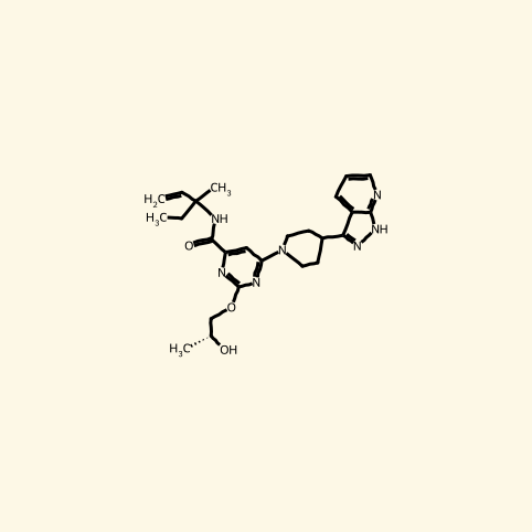 C=CC(C)(CC)NC(=O)c1cc(N2CCC(c3n[nH]c4ncccc34)CC2)nc(OC[C@@H](C)O)n1